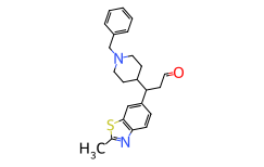 Cc1nc2ccc(C(CC=O)C3CCN(Cc4ccccc4)CC3)cc2s1